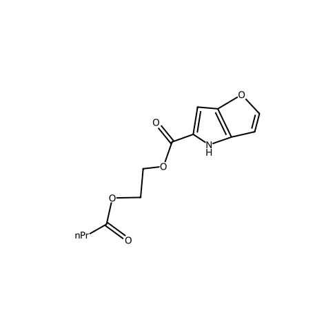 CCCC(=O)OCCOC(=O)c1cc2occc2[nH]1